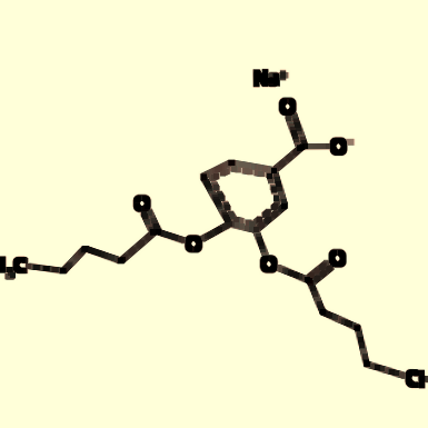 CCCCC(=O)Oc1ccc(C(=O)[O-])cc1OC(=O)CCCC.[Na+]